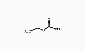 CCCC(=O)OCOC(C)=O